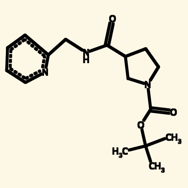 CC(C)(C)OC(=O)N1CCC(C(=O)NCc2ccccn2)C1